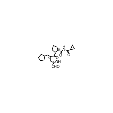 O=CN(O)C[C@@H](CC1CCCC1)C(=O)N1CCC[C@H]1C(=O)NC(=O)C1CC1